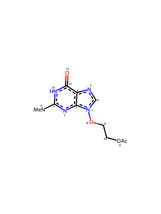 CNc1nc2c(ncn2OCCOC(C)=O)c(=O)[nH]1